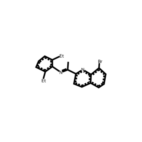 CCc1cccc(CC)c1/N=C(\C)c1ccc2cccc(Br)c2n1